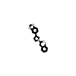 O=C(Cc1ccccc1F)N1CCC(c2ccc3c(c2)OCO3)C1